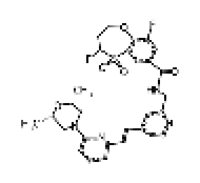 C[C@@H]1CN(c2cccc(/C=C/c3ccnc(CNC(=O)c4cc(F)c5c(c4)S(=O)(=O)C(F)CCO5)c3)n2)C[C@H](C)O1